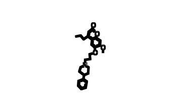 CCCc1cc(=O)oc2cc(OC)c(OCCCN3CCC(c4ccccc4)CC3)cc12